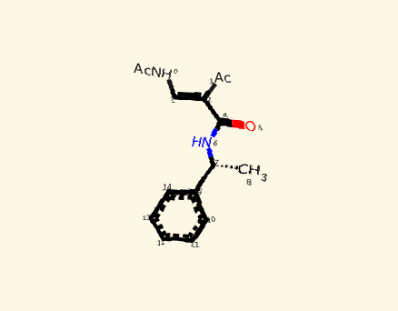 CC(=O)NC=C(C(C)=O)C(=O)N[C@H](C)c1ccccc1